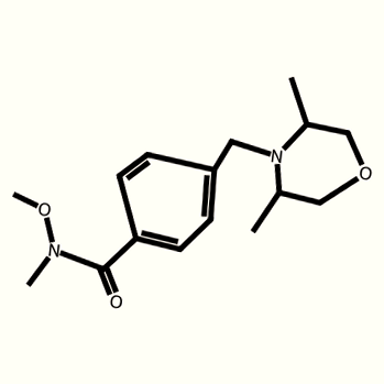 CON(C)C(=O)c1ccc(CN2C(C)COCC2C)cc1